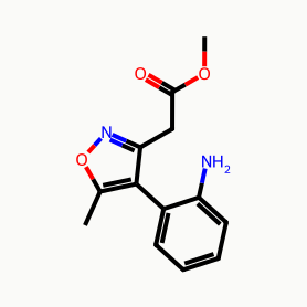 COC(=O)Cc1noc(C)c1-c1ccccc1N